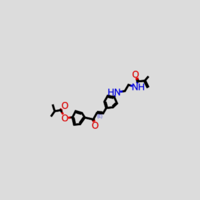 C=C(C)C(=O)NCCNc1ccc(/C=C/C(=O)c2ccc(OC(=O)C(C)C)cc2)cc1